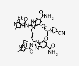 CCn1nc(C)cc1C(=O)Nc1nc2cc(C(N)=O)cc3c2n1C/C=C/Cn1c(NC(=O)c2cc(C)nn2CC)nc2cc(C(N)=O)cc(c21)OCC(N1CCC(C#N)C1)CO3